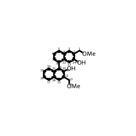 COCc1cc2cccc(-c3c(O)c(COC)cc4ccccc34)c2cc1O